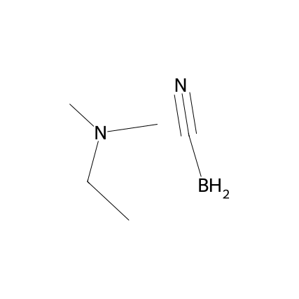 BC#N.CCN(C)C